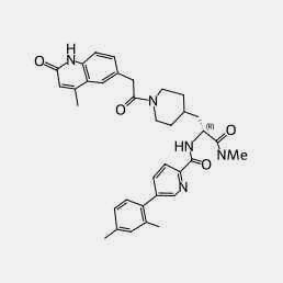 CNC(=O)[C@@H](CC1CCN(C(=O)Cc2ccc3[nH]c(=O)cc(C)c3c2)CC1)NC(=O)c1ccc(-c2ccc(C)cc2C)cn1